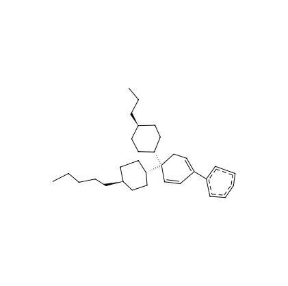 CCCCC[C@H]1CC[C@H](C2([C@H]3CC[C@H](CCC)CC3)C=CC(c3ccccc3)=CC2)CC1